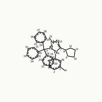 Cc1cccc(N2C(C3CCCC3)=NN(C)N2C(c2ccccc2)(c2ccccc2)c2ccccc2)c1